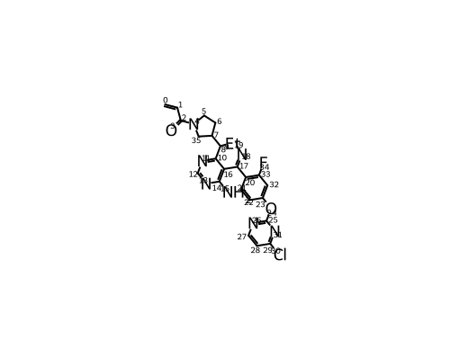 C=CC(=O)N1CCC(C(CC)c2ncnc(N)c2/C(=N\C)c2ccc(Oc3nccc(Cl)n3)cc2F)C1